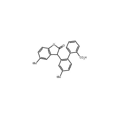 CC(C)(C)c1ccc2c(c1)C(c1cc(C(C)(C)C)ccc1-c1ccccc1C(=O)O)C(=O)O2